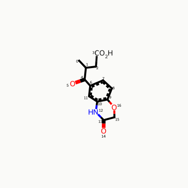 CC(CC(=O)O)C(=O)c1ccc2c(c1)NC(=O)CO2